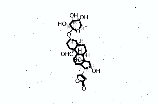 C[C@@H]1O[C@@H](O[C@H]2CC[C@@]3(C=O)[C@H](CC[C@@H]4[C@@H]3CC[C@]3(C)[C@@H](C5=CC(=O)OC5)[C@@H](O)CC43O)C2)[C@H](O)[C@H](O)[C@H]1O